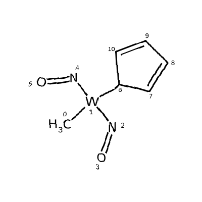 [CH3][W]([N]=O)([N]=O)[CH]1C=CC=C1